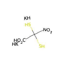 O=C(O)C(S)(S)[N+](=O)[O-].[KH].[KH]